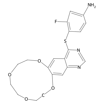 Nc1ccc(Sc2ncnc3cc4c(cc23)OCCOCCOCCO4)c(F)c1